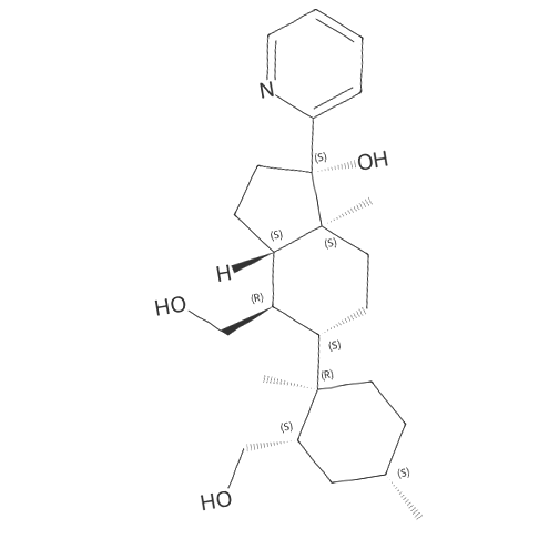 C[C@H]1CC[C@](C)([C@H]2CC[C@@]3(C)[C@@H](CC[C@@]3(O)c3ccccn3)[C@@H]2CO)[C@@H](CO)C1